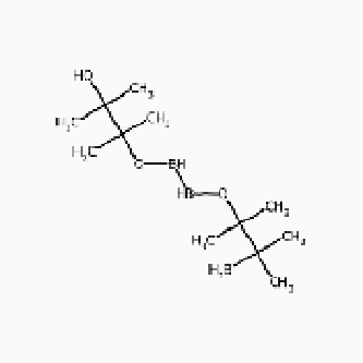 BC(C)(C)C(C)(C)OBBOC(C)(C)C(C)(C)O